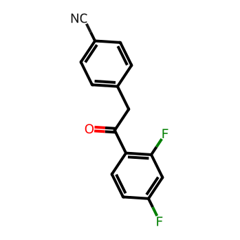 N#Cc1ccc(CC(=O)c2ccc(F)cc2F)cc1